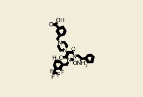 Cc1c(N2CCN(Cc3cccc(C(=O)O)c3)CC2)c(=O)n(C[C@H](N)c2ccccc2)c(=O)n1Cc1cccc(C(F)(F)F)c1F